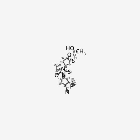 C[C@@H](O)[C@H]1CSc2cc(N3C(=S)N(c4ccc(C#N)c(C(F)(F)F)c4)C(=O)C34CCC4)ccc2O1